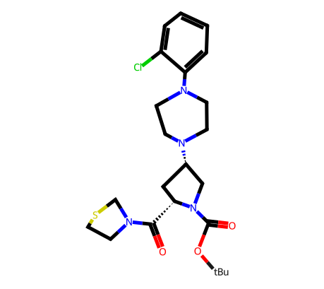 CC(C)(C)OC(=O)N1C[C@@H](N2CCN(c3ccccc3Cl)CC2)C[C@H]1C(=O)N1CCSC1